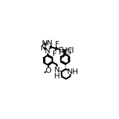 COc1ccc(-n2nnnc2C(F)(F)F)cc1CN[C@H]1CCCN[C@H]1c1ccc(C)cc1.Cl.Cl